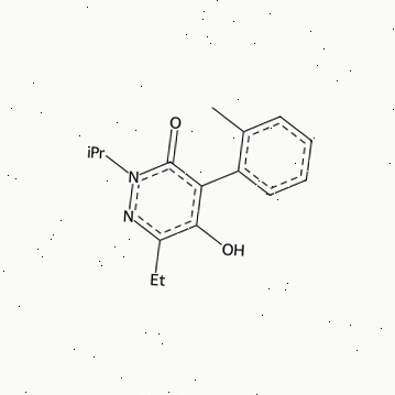 CCc1nn(C(C)C)c(=O)c(-c2ccccc2C)c1O